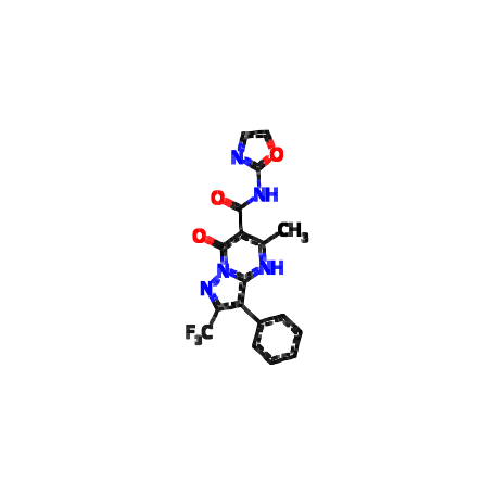 Cc1[nH]c2c(-c3ccccc3)c(C(F)(F)F)nn2c(=O)c1C(=O)Nc1ncco1